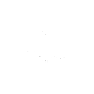 CC(C)(C)C(=O)O[C@@H]1CC=C(OS(=O)(=O)C(F)(F)F)c2c(C#N)cc(F)cc21